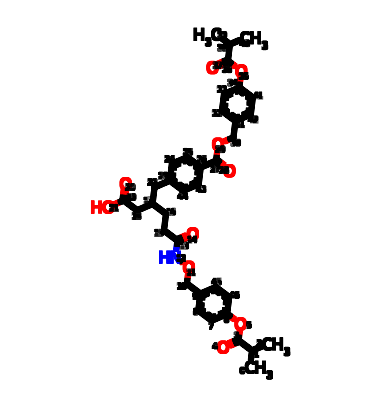 CC(C)C(=O)Oc1ccc(CONC(=O)CCC(CC(=O)O)Cc2ccc(C(=O)OCc3ccc(OC(=O)C(C)C)cc3)cc2)cc1